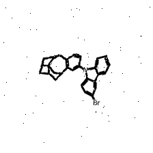 Brc1ccc2c(c1)c1ccccc1n2-c1ccc2c(c1)C1CC3CC4CC2CC43C1